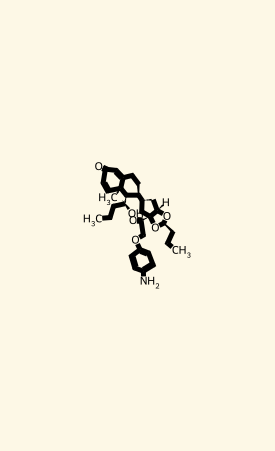 CCC[C@@H]1O[C@@H]2C[C@@H]([C@@H]3CCC4=CC(=O)C=C[C@]4(C)[C@H]3[C@@H](O)CCC)C[C@]2(C(=O)COc2ccc(N)cc2)O1